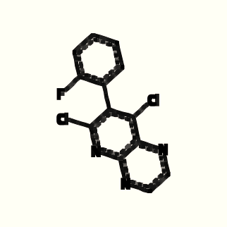 Fc1ccccc1-c1c(Cl)nc2nccnc2c1Cl